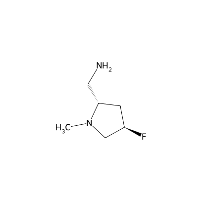 CN1C[C@H](F)C[C@H]1CN